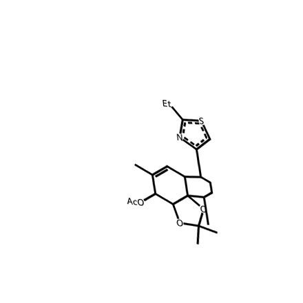 CCc1nc(C2CCC(C)C34OC(C)(C)OC3C(OC(C)=O)C(C)=CC24)cs1